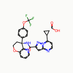 O=C(N[C@]1(c2ccc(OC(F)(F)F)cc2)CCOc2cccnc21)c1cc2nccc(C3CC3)n2n1.O=CO